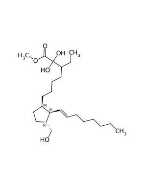 CCCCCCC=C[C@@H]1[C@H](CCCCC(CC)C(O)(O)C(=O)OC)CC[C@H]1CO